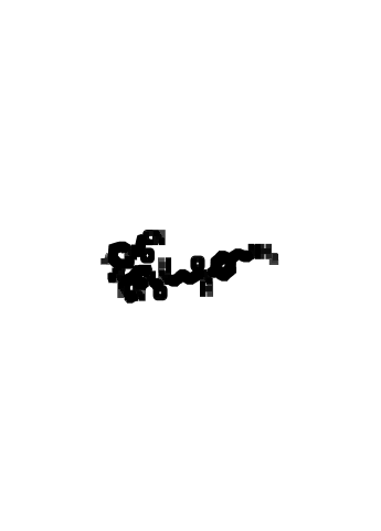 C[C@@H]1CCN(C(=O)CC#N)C[C@@H]1N(C)c1ncnc2c1ccn2C(=O)NCCCC(=O)Nc1ccc(CCN)cc1